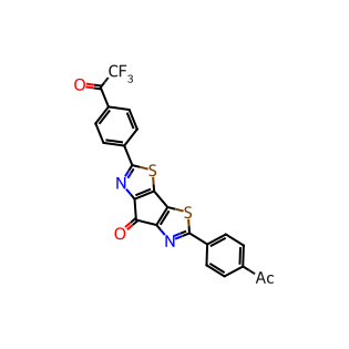 CC(=O)c1ccc(-c2nc3c(s2)-c2sc(-c4ccc(C(=O)C(F)(F)F)cc4)nc2C3=O)cc1